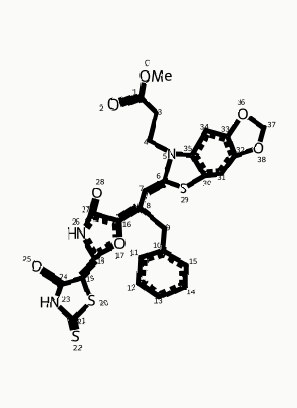 COC(=O)CCN1/C(=C/C(Cc2ccccc2)=c2/o/c(=C3\SC(=S)NC3=O)[nH]c2=O)Sc2cc3c(cc21)OCO3